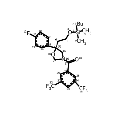 CC(C)(C)[Si](C)(C)OCC[C@@]1(c2ccc(F)cc2)CN(C(=O)c2cc(C(F)(F)F)cc(C(F)(F)F)c2)CO1